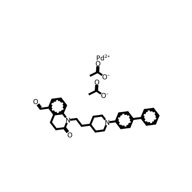 CC(=O)[O-].CC(=O)[O-].O=Cc1cccc2c1CCC(=O)N2CCC1CCN(c2ccc(-c3ccccc3)cc2)CC1.[Pd+2]